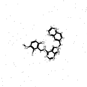 COc1ccc(Cl)c(CNc2ncnc3nn(Cc4ccc5nccnc5c4)cc23)c1F